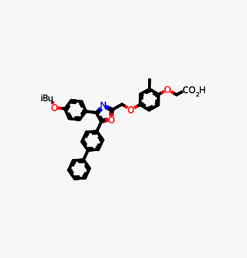 CCC(C)Oc1ccc(-c2nc(COc3ccc(OCC(=O)O)c(C)c3)oc2-c2ccc(-c3ccccc3)cc2)cc1